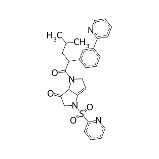 CC(C)CC(C(=O)N1CC=C2C1C(=O)CN2S(=O)(=O)c1ccccn1)c1cccc(-c2ccccn2)c1